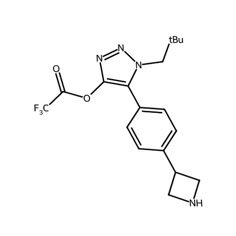 CC(C)(C)Cn1nnc(OC(=O)C(F)(F)F)c1-c1ccc(C2CNC2)cc1